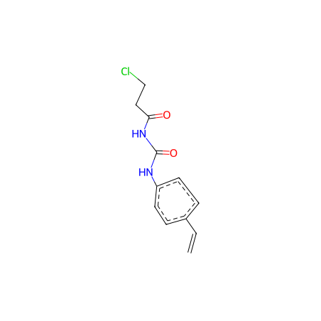 C=Cc1ccc(NC(=O)NC(=O)CCCl)cc1